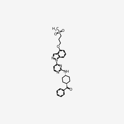 CS(=O)(=O)CCCOc1cccc2c1cnn2-c1ccnc(N[C@H]2CC[C@H](C(=O)c3ccccc3)CC2)n1